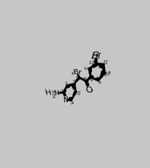 Nc1cc(C(Br)C(=O)c2cccc(Br)c2)ccn1